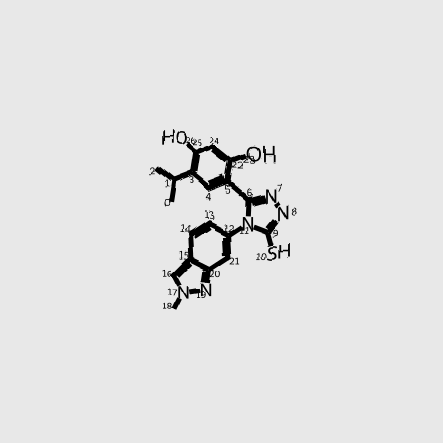 CC(C)c1cc(-c2nnc(S)n2-c2ccc3cn(C)nc3c2)c(O)cc1O